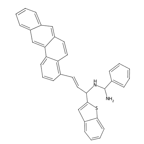 NC(NC(/C=C/c1cccc2c1ccc1cc3ccccc3cc12)c1cc2ccccc2s1)c1ccccc1